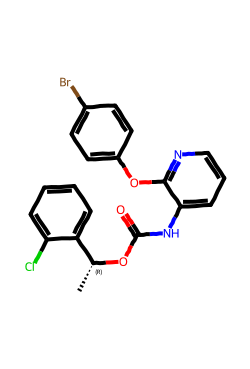 C[C@@H](OC(=O)Nc1cccnc1Oc1ccc(Br)cc1)c1ccccc1Cl